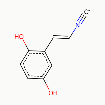 [C-]#[N+]/C=C/c1cc(O)ccc1O